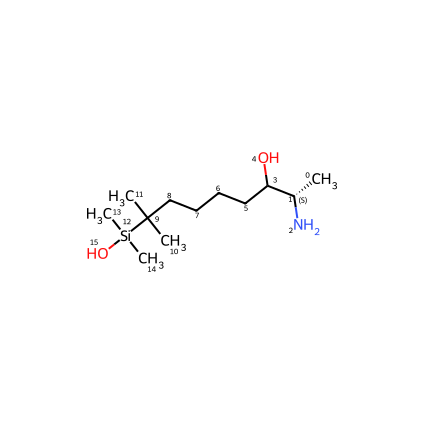 C[C@H](N)C(O)CCCCC(C)(C)[Si](C)(C)O